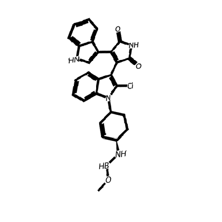 COBN[C@H]1C=CC(n2c(Cl)c(C3=C(c4c[nH]c5ccccc45)C(=O)NC3=O)c3ccccc32)CC1